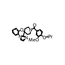 COc1cc(C(=O)N2CCC3(CC2)Oc2ccccc2-n2ccnc23)ccc1OC(C)C